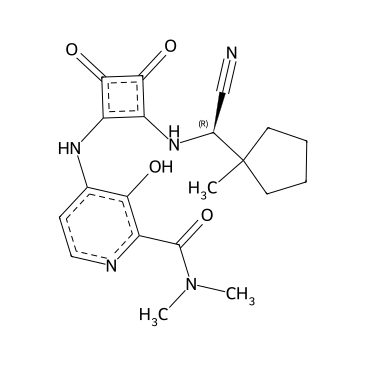 CN(C)C(=O)c1nccc(Nc2c(N[C@@H](C#N)C3(C)CCCC3)c(=O)c2=O)c1O